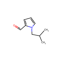 C[C](C)Cn1cccc1C=O